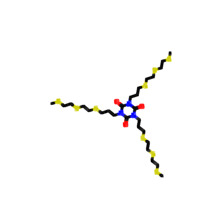 CSCCSCCSCCCn1c(=O)n(CCCSCCSCCSC)c(=O)n(CCCSCCSCCSC)c1=O